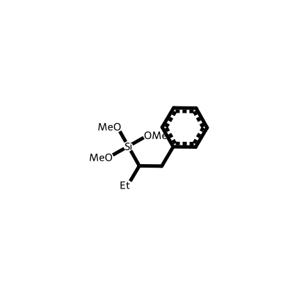 CCC(Cc1ccccc1)[Si](OC)(OC)OC